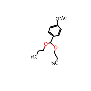 COc1ccc(C(OCCC#N)OCCC#N)cc1